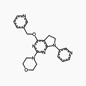 c1cncc(COc2nc(N3CCOCC3)nc3c2CCN3c2cccnc2)c1